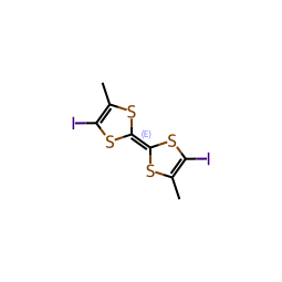 CC1=C(I)S/C(=C2\SC(C)=C(I)S2)S1